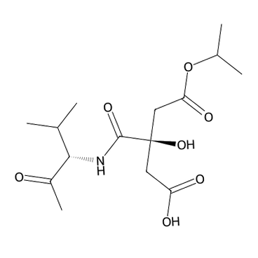 CC(=O)[C@@H](NC(=O)[C@@](O)(CC(=O)O)CC(=O)OC(C)C)C(C)C